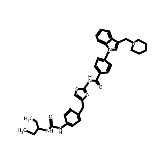 CCC(CC)NC(=O)Nc1ccc(Cc2csc(NC(=O)c3ccc(-n4cc(CN5CCCCC5)c5ccccc54)cc3)n2)cc1